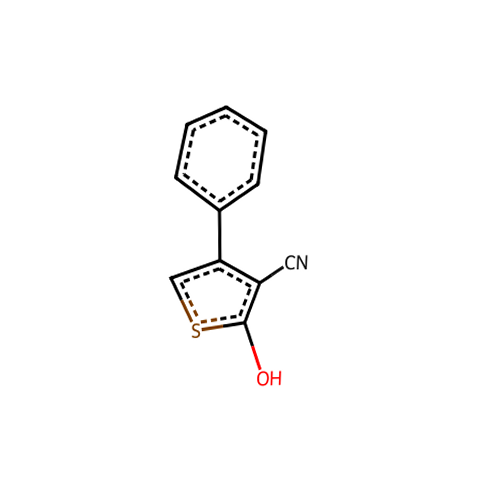 N#Cc1c(-c2ccccc2)csc1O